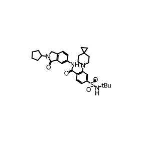 CC(C)(C)NS(=O)(=O)c1ccc(C(=O)Nc2ccc3c(c2)C(=O)N(C2CCCC2)C3)c(N2CCC3(CC2)CC3)c1